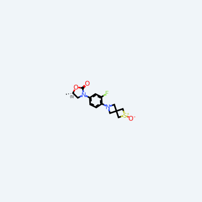 C[C@H]1CN(c2ccc(N3CC4(C3)C[S+]([O-])C4)c(F)c2)C(=O)O1